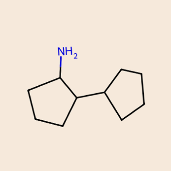 NC1CCCC1C1CCCC1